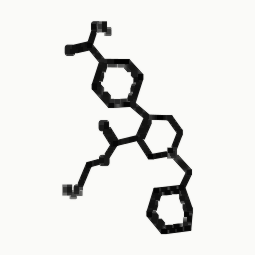 CCOC(=O)C1=C(c2ccc(C(C)=O)cc2)CCN(Cc2ccccc2)C1